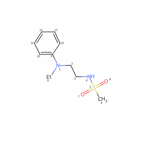 CCN(CCNS(C)(=O)=O)c1cc[c]cc1